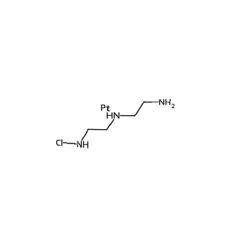 NCCNCCNCl.[Pt]